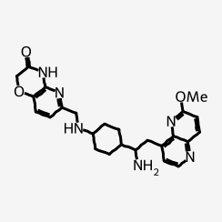 COc1ccc2nccc(CC(N)C3CCC(NCc4ccc5c(n4)NC(=O)CO5)CC3)c2n1